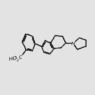 O=C(O)c1cccc(-c2ccc3c(c2)CCC(N2CCCC2)C3)c1